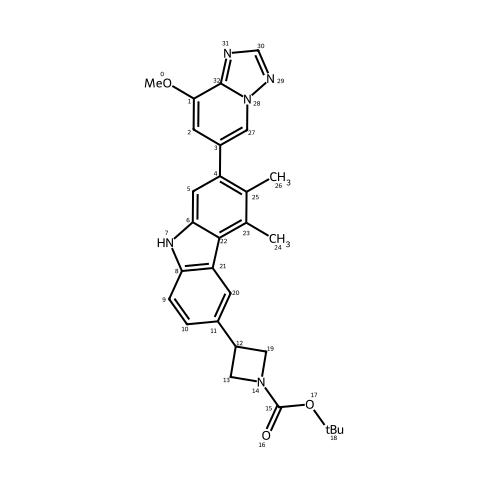 COc1cc(-c2cc3[nH]c4ccc(C5CN(C(=O)OC(C)(C)C)C5)cc4c3c(C)c2C)cn2ncnc12